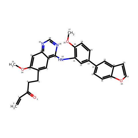 C=CC(=O)CCc1cc2c(Nc3cc(-c4ccc5occc5c4)ccc3OC)ncnc2cc1OC